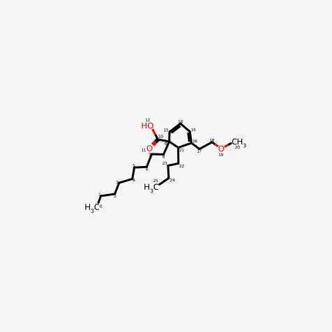 CCCCCCCCCC1(C(=O)O)C=CC=C(CCOC)C1CCCC